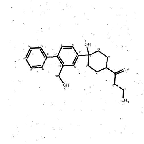 C[CH]CC(=N)C1CCC(O)(c2ccc(-c3ccccc3)c(CO)c2)CC1